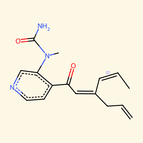 C=CCC(=CC(=O)c1ccncc1N(C)C(N)=O)/C=C\C